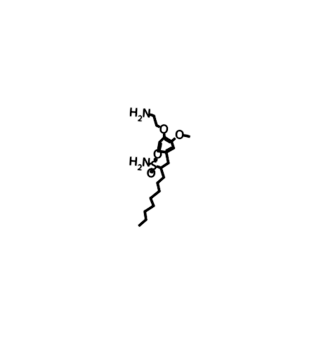 CCCCCCCCC(Cc1ccc(OCCN)c(OC)c1)S(N)(=O)=O